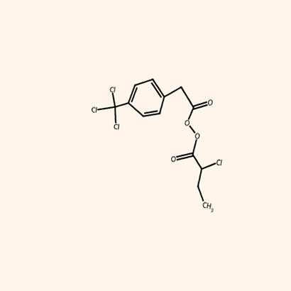 CCC(Cl)C(=O)OOC(=O)Cc1ccc(C(Cl)(Cl)Cl)cc1